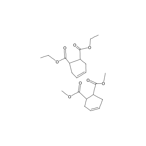 CCOC(=O)C1CC=CCC1C(=O)OCC.COC(=O)C1CC=CCC1C(=O)OC